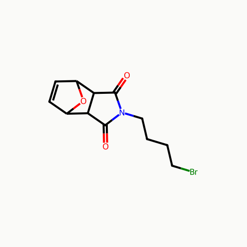 O=C1C2C3C=CC(O3)C2C(=O)N1CCCCBr